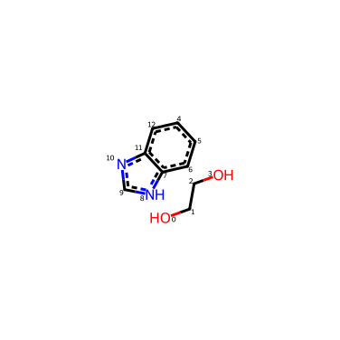 OCCO.c1ccc2[nH]cnc2c1